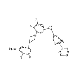 COc1cc(C2CN(c3cc(C4CC4c4cnc(-c5ncccn5)nc4)cc(F)c3F)C2)cc(F)c1F